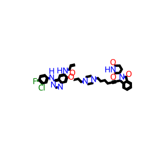 C=CC(=O)Nc1cc2c(Nc3ccc(F)c(Cl)c3)ncnc2cc1OCCCN1CCN(CCCCC#CC2c3ccccc3C(=O)N2C2CCC(=O)NC2=O)CC1